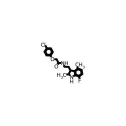 Cc1ccc(F)c2c1C(CCNC(=O)COc1ccc(Cl)cc1)C(C)N2